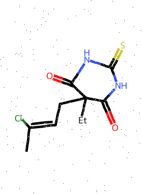 CCC1(CC=C(C)Cl)C(=O)NC(=S)NC1=O